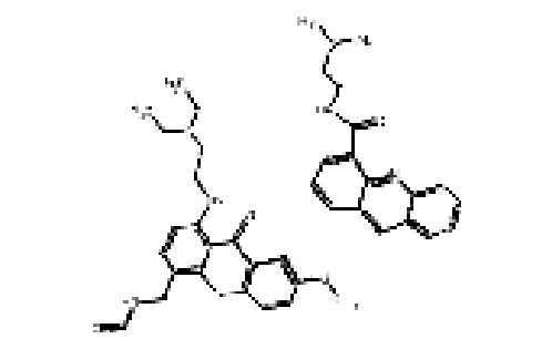 CCN(CC)CCNc1ccc(CNC=O)c2sc3ccc(OC)cc3c(=O)c12.CN(C)CCNC(=O)c1cccc2cc3ccccc3nc12